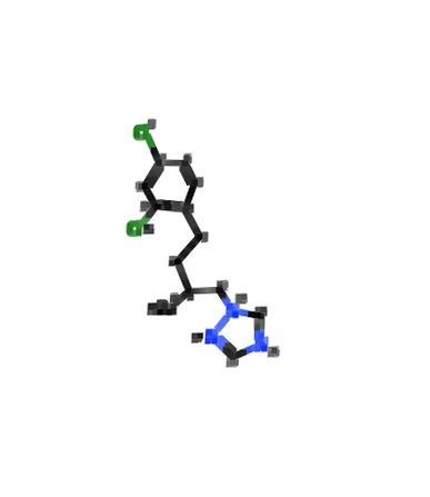 CCCCC(CCc1ccc(Cl)cc1Cl)Cn1cncn1